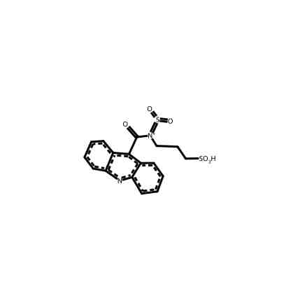 O=C(c1c2ccccc2nc2ccccc12)[N+](CCCS(=O)(=O)O)=S(=O)=O